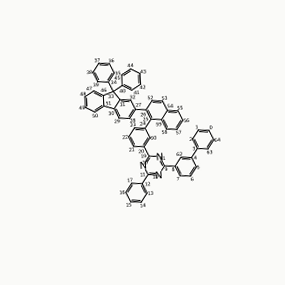 c1ccc(-c2cccc(-c3nc(-c4ccccc4)nc(-c4cccc(-c5c(-c6ccc7c(c6)C(c6ccccc6)(c6ccccc6)c6ccccc6-7)ccc6ccccc56)c4)n3)c2)cc1